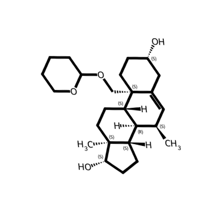 C[C@@H]1C=C2C[C@@H](O)CC[C@]2(COC2CCCCO2)[C@H]2CC[C@]3(C)[C@@H](O)CC[C@H]3[C@H]12